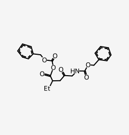 CCC(CC(=O)CNC(=O)OCc1ccccc1)C(=O)OC(=O)OCc1ccccc1